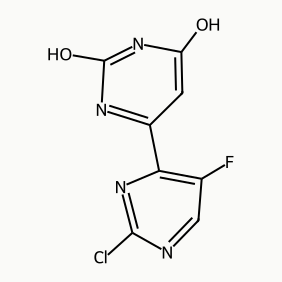 Oc1cc(-c2nc(Cl)ncc2F)nc(O)n1